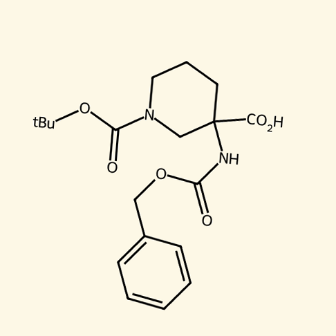 CC(C)(C)OC(=O)N1CCCC(NC(=O)OCc2ccccc2)(C(=O)O)C1